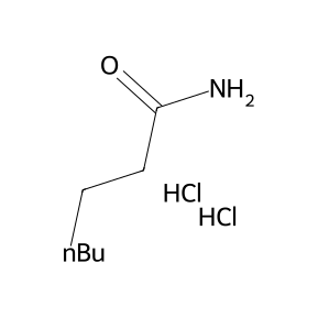 CCCCCCC(N)=O.Cl.Cl